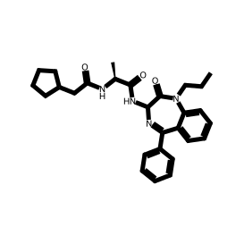 CCCN1C(=O)C(NC(=O)[C@H](C)NC(=O)CC2CCCC2)N=C(c2ccccc2)c2ccccc21